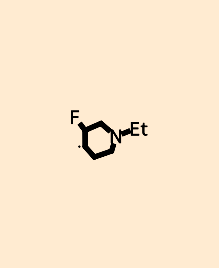 CCN1CC[CH]C(F)C1